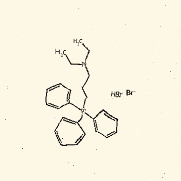 Br.CCN(CC)CCC[P+](c1ccccc1)(c1ccccc1)c1ccccc1.[Br-]